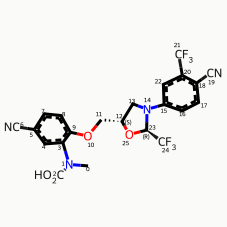 CN(C(=O)O)c1cc(C#N)ccc1OC[C@@H]1CN(c2ccc(C#N)c(C(F)(F)F)c2)[C@@H](C(F)(F)F)O1